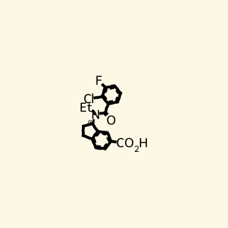 CCN(C(=O)c1cccc(F)c1Cl)[C@@H]1CCc2ccc(C(=O)O)cc21